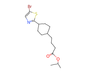 CC(C)OC(=O)CCCC1CCC(c2ncc(Br)s2)CC1